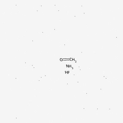 C=O.F.N